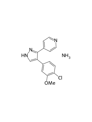 COc1cc(-c2c[nH]nc2-c2ccncc2)ccc1Cl.N